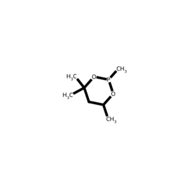 CC1CC(C)(C)OP(C)O1